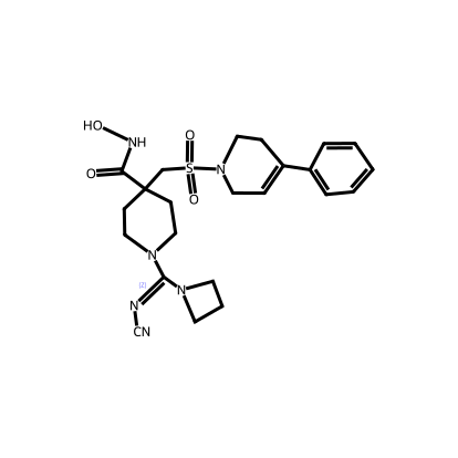 N#C/N=C(\N1CCC1)N1CCC(CS(=O)(=O)N2CC=C(c3ccccc3)CC2)(C(=O)NO)CC1